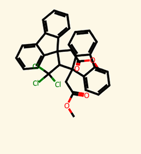 COC(=O)CC1(C(C(Cl)(Cl)Cl)C2(CC(=O)OC)c3ccccc3-c3ccccc32)c2ccccc2-c2ccccc21